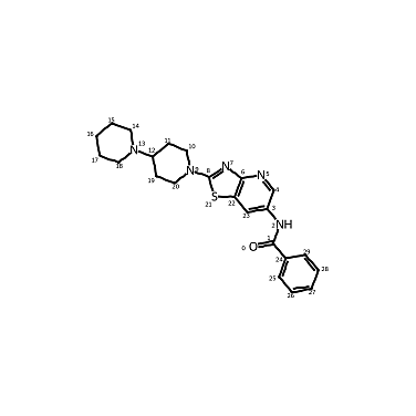 O=C(Nc1cnc2nc(N3CCC(N4CCCCC4)CC3)sc2c1)c1ccccc1